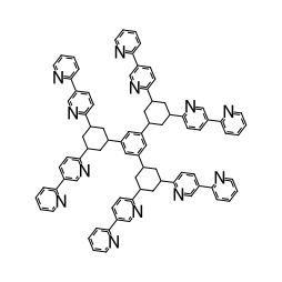 c1ccc(-c2ccc(C3CC(c4cc(C5CC(c6ccc(-c7ccccn7)cn6)CC(c6ccc(-c7ccccn7)cn6)C5)cc(C5CC(c6ccc(-c7ccccn7)cn6)CC(c6ccc(-c7ccccn7)cn6)C5)c4)CC(c4ccc(-c5ccccn5)cn4)C3)nc2)nc1